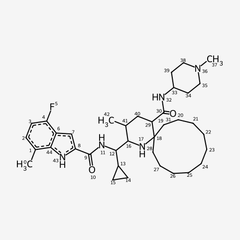 Cc1ccc(F)c2cc(C(=O)NC(C3CC3)C3NC4(CCCCCCCCCC4)C(C(=O)NC4CCN(C)CC4)CC3C)[nH]c12